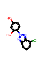 Oc1ccc(-n2nc3cccc(Cl)c3n2)c(O)c1